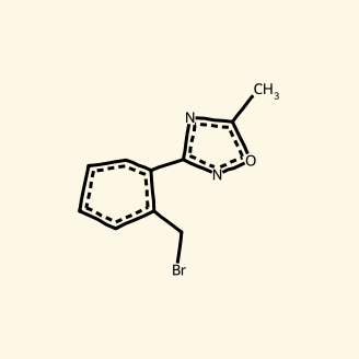 Cc1nc(-c2ccccc2CBr)no1